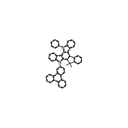 CC1(C)c2ccccc2-c2c1c1c(c3ccccc3n1-c1ccc3c4ccccc4c4ccccc4c3c1)c1c2c2ccccc2n1-c1ccccc1